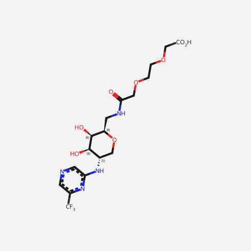 O=C(O)COCCOCC(=O)NC[C@H]1OC[C@H](Nc2cncc(C(F)(F)F)n2)[C@@H](O)[C@H]1O